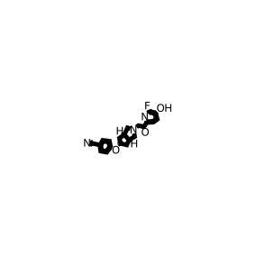 N#Cc1ccc(O[C@H]2C[C@@H]3CN(CC(=O)c4ccc(O)c(F)n4)C[C@@H]3C2)cc1